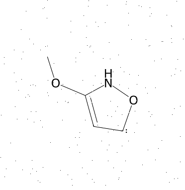 COC1=C[C]ON1